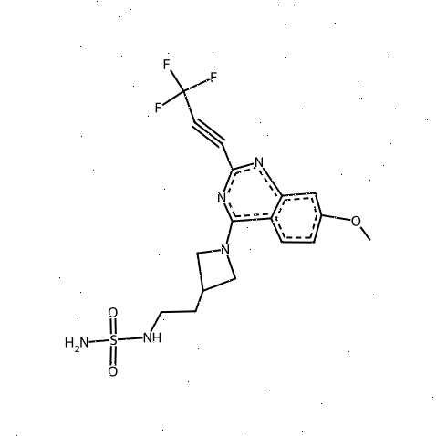 COc1ccc2c(N3CC(CCNS(N)(=O)=O)C3)nc(C#CC(F)(F)F)nc2c1